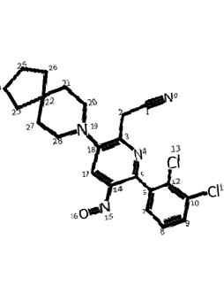 N#CCc1nc(-c2cccc(Cl)c2Cl)c(N=O)cc1N1CCC2(CCCC2)CC1